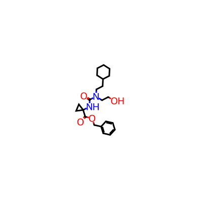 O=C(NC1(C(=O)OCc2ccccc2)CC1)N(CCO)CCC1CCCCC1